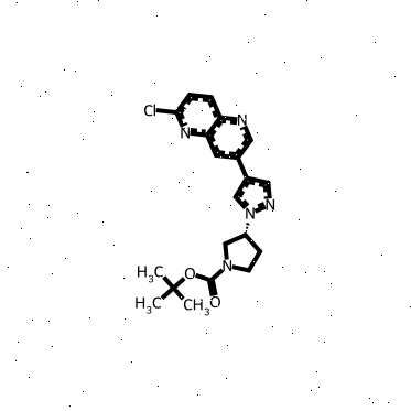 CC(C)(C)OC(=O)N1CC[C@@H](n2cc(-c3cnc4ccc(Cl)nc4c3)cn2)C1